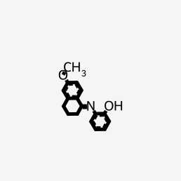 COc1ccc2c(c1)CCCC2=Nc1ccccc1O